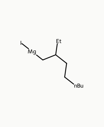 CCCCCCC(CC)[CH2][Mg][I]